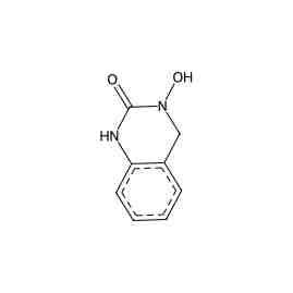 O=C1Nc2ccccc2CN1O